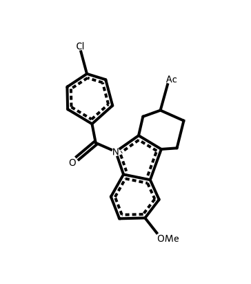 COc1ccc2c(c1)c1c(n2C(=O)c2ccc(Cl)cc2)CC(C(C)=O)CC1